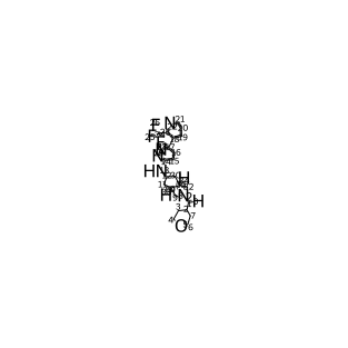 [2H]C(C1CCOCC1)N1C[C@H]2CC(Nc3ccc(-c4cccnc4C(F)(F)F)nn3)C[C@H]2C1